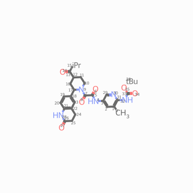 Cc1cc(NC(=O)C(=O)N2CCC(C(=O)C(C)C)CC2c2ccc3c(c2)CCC(=O)N3)cnc1NC(=O)OC(C)(C)C